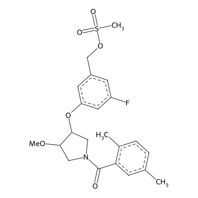 COC1CN(C(=O)c2cc(C)ccc2C)CC1Oc1cc(F)cc(COS(C)(=O)=O)c1